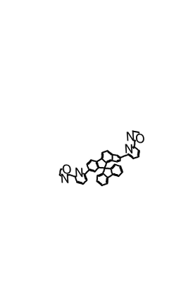 c1cc(C2=NCCO2)nc(-c2ccc3c(c2)C2(c4ccccc4-c4ccccc42)c2c-3ccc3cc(-c4cccc(C5=NCCO5)n4)ccc23)c1